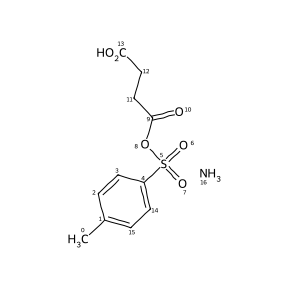 Cc1ccc(S(=O)(=O)OC(=O)CCC(=O)O)cc1.N